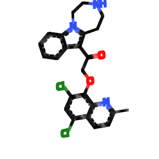 Cc1ccc2c(Cl)cc(Cl)c(OCC(=O)c3c4n(c5ccccc35)CCNCC4)c2n1